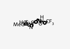 COC(=O)CC1Cc2nccc(Oc3ccc4c(ccn4C(=O)Nc4cccc(C(F)(F)F)c4)c3)c2CN1C